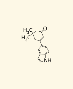 CC1(C)CC(=O)C=C(c2ccc3[nH]ccc3c2)C1